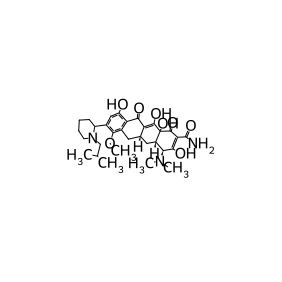 COc1c(C2CCCCN2CC(C)C)cc(O)c2c1C[C@H]1C[C@H]3[C@H](N(C)C)C(O)=C(C(N)=O)C(=O)[C@@]3(O)C(O)=C1C2=O